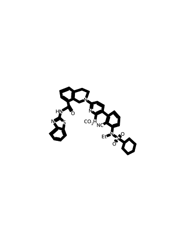 CCN(c1cccc(-c2ccc(N3CCc4cccc(C(=O)Nc5nc6ccccc6s5)c4C3)nc2C(=O)O)c1C#N)S(=O)(=O)C1CCCCC1